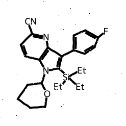 CC[Si](CC)(CC)c1c(-c2ccc(F)cc2)c2nc(C#N)ccc2n1C1CCCCO1